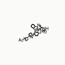 CC(=O)N1CCC(c2ccn(-c3ccc(Cn4c(=O)[nH]c5cnc(-c6ccccc6C(C)C)nc54)cc3)n2)C1